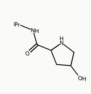 [CH2]C([CH2])NC(=O)C1CC(O)CN1